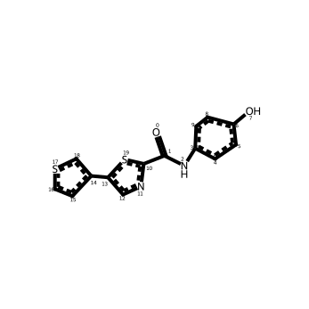 O=C(Nc1ccc(O)cc1)c1ncc(-c2ccsc2)s1